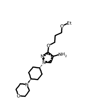 CCOCCCOc1nn([C@H]2CC[C@H](N3CCOCC3)CC2)cc1N